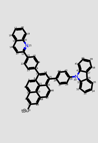 CC(C)(C)c1cc2ccc3c(-c4ccc(-c5ccc6ccccc6n5)cc4)cc(-c4ccc(-n5c6ccccc6c6ccccc65)cc4)c4ccc(c1)c2c34